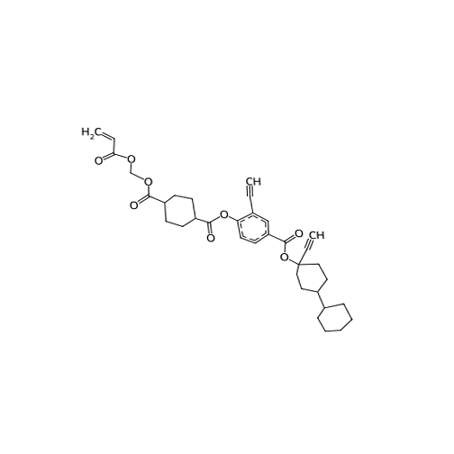 C#Cc1cc(C(=O)OC2(C#C)CCC(C3CCCCC3)CC2)ccc1OC(=O)C1CCC(C(=O)OCOC(=O)C=C)CC1